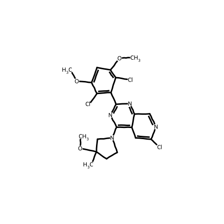 COc1cc(OC)c(Cl)c(-c2nc(N3CCC(C)(OC)C3)c3cc(Cl)ncc3n2)c1Cl